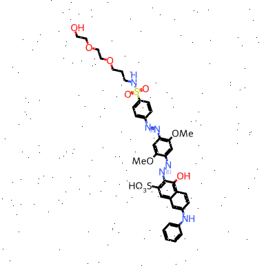 COc1cc(/N=N/c2c(S(=O)(=O)O)cc3cc(Nc4ccccc4)ccc3c2O)c(OC)cc1/N=N/c1ccc(S(=O)(=O)NCCCOCCOCCO)cc1